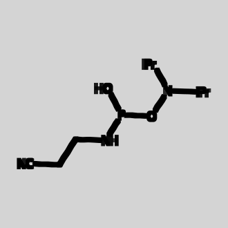 CC(C)N(OP(O)NCCC#N)C(C)C